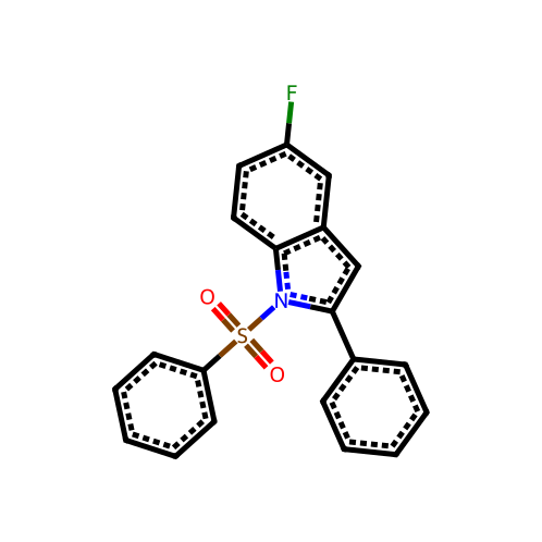 O=S(=O)(c1ccccc1)n1c(-c2ccccc2)cc2cc(F)ccc21